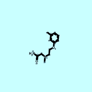 Cc1cccc(OCCN(C)CC(N)=O)c1